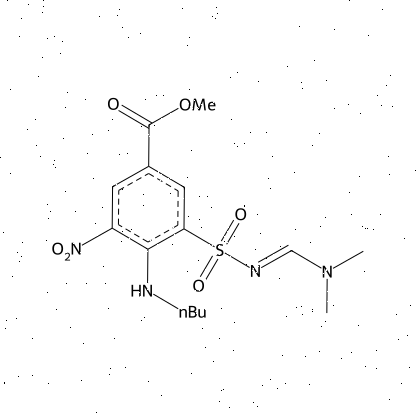 CCCCNc1c([N+](=O)[O-])cc(C(=O)OC)cc1S(=O)(=O)/N=C/N(C)C